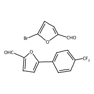 O=Cc1ccc(-c2ccc(C(F)(F)F)cc2)o1.O=Cc1ccc(Br)o1